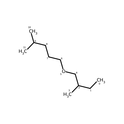 CCC(C)COCCCC(C)C